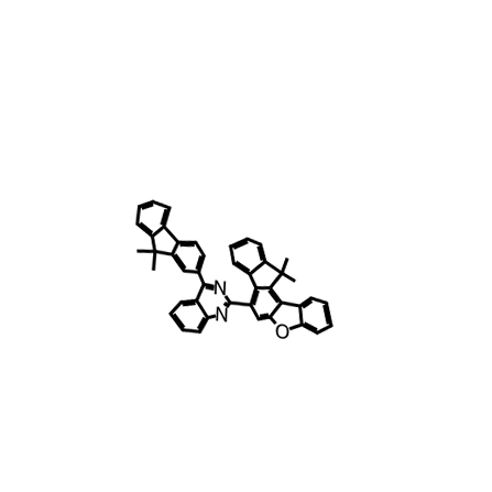 CC1(C)c2ccccc2-c2ccc(-c3nc(-c4cc5oc6ccccc6c5c5c4-c4ccccc4C5(C)C)nc4ccccc34)cc21